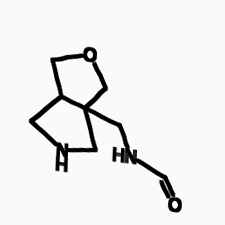 O=CNCC12CNCC1COC2